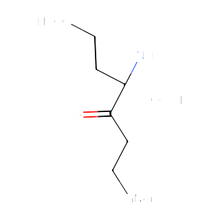 CCCCCCCCCCCC(=O)[C@](N)(CCC(=O)O)C(=O)O